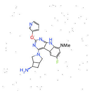 CNc1cc(F)cc2c1[nH]c1nc(Oc3cccnc3)nc(N3CC4C[C@@H](N)C4C3)c12